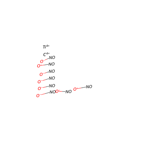 O=N[O-].O=N[O-].O=N[O-].O=N[O-].O=N[O-].O=N[O-].O=N[O-].O=N[O-].[C+4].[Ti+4]